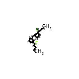 CCCCC(F)c1cccc(Cc2cccc(C(F)CCCC)c2)c1